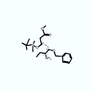 CC[C@H](N)[C@H](C[C@@H](CC(=O)OC)O[Si](C)(C)C(C)(C)C)OCc1ccccc1